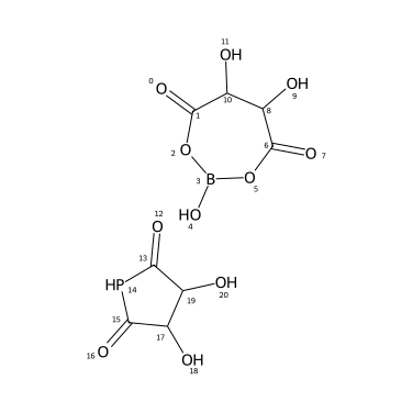 O=C1OB(O)OC(=O)C(O)C1O.O=C1PC(=O)C(O)C1O